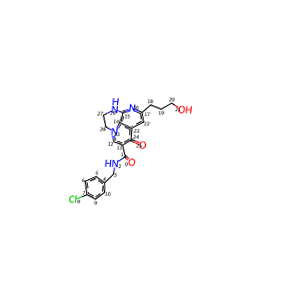 O=C(NCc1ccc(Cl)cc1)c1cn2c3c(nc(CCCO)cc3c1=O)NCC2